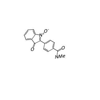 CNC(=O)c1ccc(C2=[N+]([O-])c3ccccc3C2=O)cc1